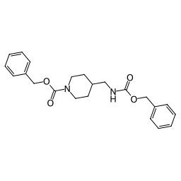 O=C(NCC1CCN(C(=O)OCc2ccccc2)CC1)OCc1ccccc1